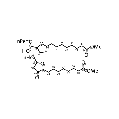 CCCCCC(O)C1CCC(CCCCCCCC(=O)OC)O1.CCCCCCC1CC(=O)C(CCCCCCCC(=O)OC)O1